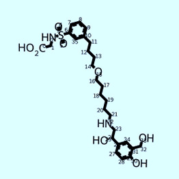 O=C(O)CNS(=O)(=O)c1cccc(CCCCOCCCCCCNC[C@@H](O)c2ccc(O)c(CO)c2)c1